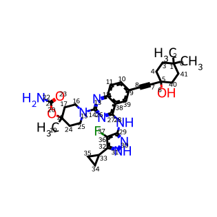 CC1(C)CCC(O)(C#Cc2ccc3nc(N4CCC(C)(OC(N)=O)CC4)nc(Nc4n[nH]c(C5CC5)c4F)c3c2)CC1